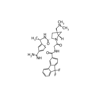 C[C@@H](NC(=O)[C@@H]1C[C@]2(CN(C)C)C[C@@H]2N1C(=O)CNC(=O)c1ccc2c(c1)-c1ccccc1C2(F)F)c1cc(C(=N)N)cs1